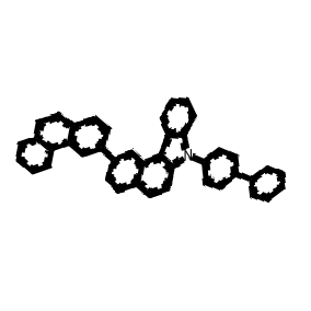 c1ccc(-c2ccc(-n3c4ccccc4c4c5cc(-c6ccc7ccc8ccccc8c7c6)ccc5ccc43)cc2)cc1